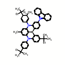 CCC(C)(C)c1ccc(N2c3ccc(C(C)(C)CC)cc3B3c4ccc(-n5c6ccccc6c6ccccc65)cc4N(C4=CC(C)C(C(C)(C)CC)C=C4)c4cc(C)cc2c43)cc1